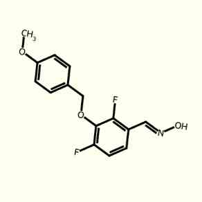 COc1ccc(COc2c(F)ccc(/C=N/O)c2F)cc1